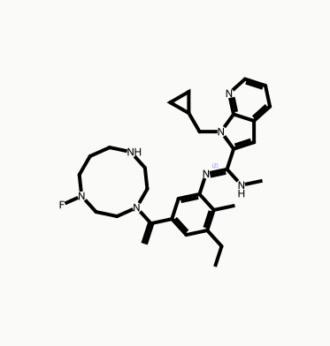 C=C(c1cc(CC)c(C)c(/N=C(\NC)c2cc3cccnc3n2CC2CC2)c1)N1CCNCCCN(F)CC1